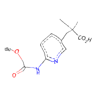 CC(C)(C)OC(=O)Nc1ccc(C(C)(C)C(=O)O)cn1